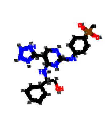 CS(=O)(=O)c1ccc(Nc2ncc(-c3nnn[nH]3)c(N[C@H](CO)c3ccccc3)n2)cc1